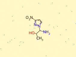 CC(O)C(N)n1ccc([N+](=O)[O-])n1